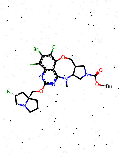 CN1c2nc(OC[C@@]34CCCN3C[C@H](F)C4)nc3c(F)c(Br)c(Cl)c(c23)OCC2CN(C(=O)OC(C)(C)C)CC21